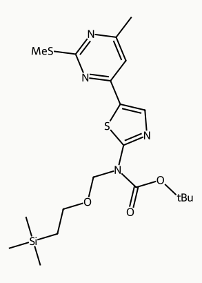 CSc1nc(C)cc(-c2cnc(N(COCC[Si](C)(C)C)C(=O)OC(C)(C)C)s2)n1